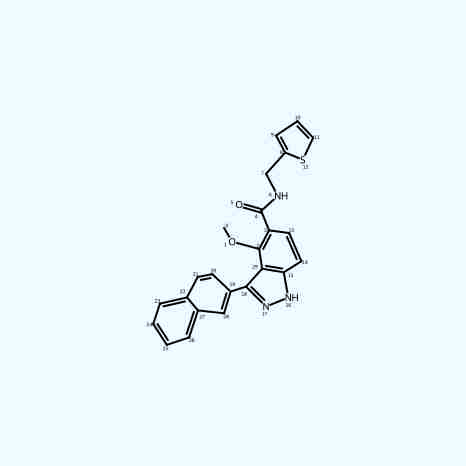 COc1c(C(=O)NCc2cccs2)ccc2[nH]nc(-c3ccc4ccccc4c3)c12